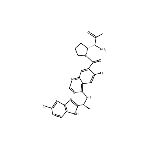 CC(=O)C(N)[C@H]1CCCN1C(=O)c1cc2ncnc(N[C@@H](C)c3nc4cc(Cl)ccc4[nH]3)c2cc1Cl